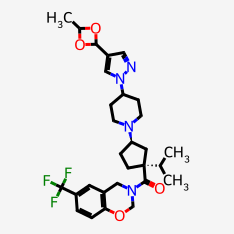 CC1OC(c2cnn(C3CCN([C@@H]4CC[C@@](C(=O)N5COc6ccc(C(F)(F)F)cc6C5)(C(C)C)C4)CC3)c2)O1